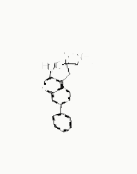 CC(N)(CN)Cc1c([N+](=O)[O-])cnc2cc(-c3ccccc3)ccc12